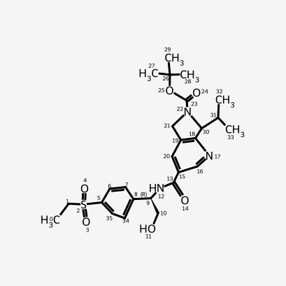 CCS(=O)(=O)c1ccc([C@H](CO)NC(=O)c2cnc3c(c2)CN(C(=O)OC(C)(C)C)C3C(C)C)cc1